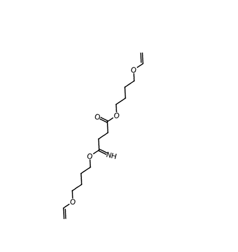 C=COCCCCOC(=N)CCC(=O)OCCCCOC=C